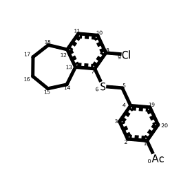 CC(=O)c1ccc(CSc2c(Cl)ccc3c2CCCCC3)cc1